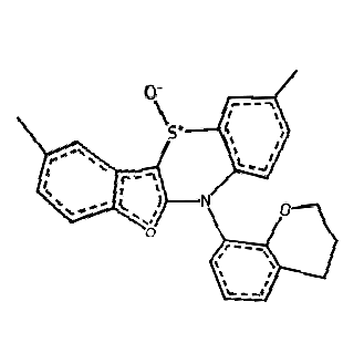 Cc1ccc2c(c1)[S+]([O-])c1c(oc3ccc(C)cc13)N2c1cccc2c1OCCC2